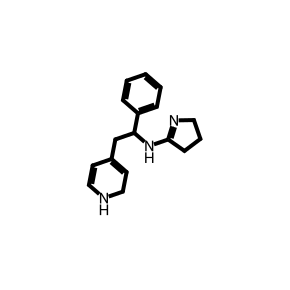 C1=CC(CC(NC2=NCCC2)c2ccccc2)=CCN1